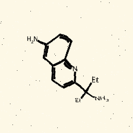 CCC(N)(CC)c1ccc2cc(N)ccc2n1